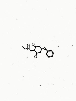 CCNC=C1C(=O)CC(Sc2ccccc2)CC1=O